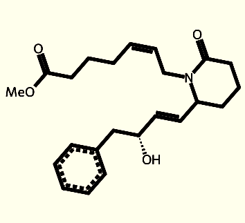 COC(=O)CCC/C=C\CN1C(=O)CCCC1/C=C/[C@H](O)Cc1ccccc1